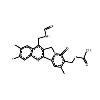 Cc1cc2c(CNC=O)c3c(nc2cc1F)-c1cc(C)c(COC(=O)O)c(=O)n1C3